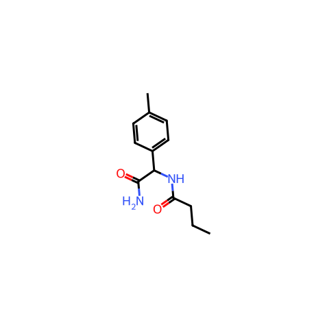 CCCC(=O)NC(C(N)=O)c1ccc(C)cc1